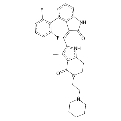 Cc1c(C=C2C(=O)Nc3cccc(-c4c(F)cccc4F)c32)[nH]c2c1C(=O)N(CCN1CCCCC1)CC2